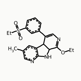 CCOC1=NC=C(c2cccc(S(=O)(=O)CC)c2)C2c3cc(C)cnc3NC12